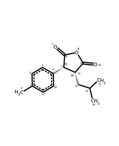 Cc1ccc([C@@H]2C(=O)OC(=O)[C@@H]2CC(C)C)cc1